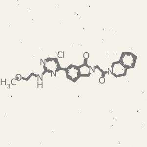 COCCNc1ncc(Cl)c(-c2ccc3c(c2)C(=O)N(CC(=O)N2CCc4ccccc4C2)C3)n1